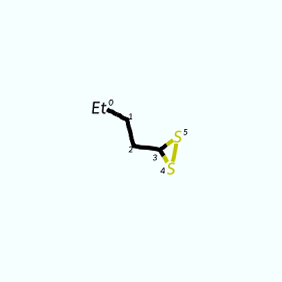 CCCCC1SS1